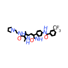 Cc1[nH]c(C=C2C(=O)Nc3cc(NC(=O)c4cccc(C(F)(F)F)c4)ccc32)c(C)c1C(=O)NCCN1CCCC1